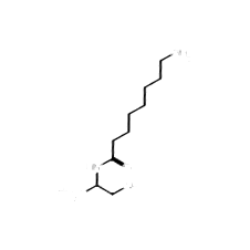 NCCCCCCCC(=O)NC(CS)C(=O)O